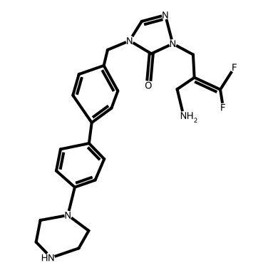 NCC(Cn1ncn(Cc2ccc(-c3ccc(N4CCNCC4)cc3)cc2)c1=O)=C(F)F